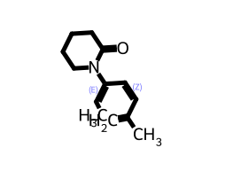 C=C(C)/C=C\C(=C/C)N1CCCCC1=O